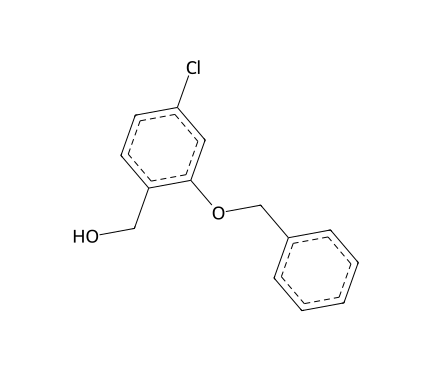 OCc1ccc(Cl)cc1OCc1ccccc1